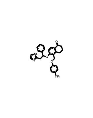 CCCc1ccc(OCc2c(OC(Cc3ncc[nH]3)c3ccccc3)ccc3c2CCCC3=O)cc1